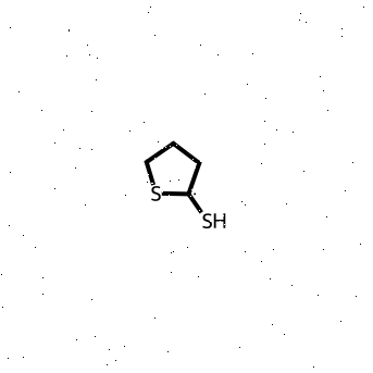 S[C]1CCCS1